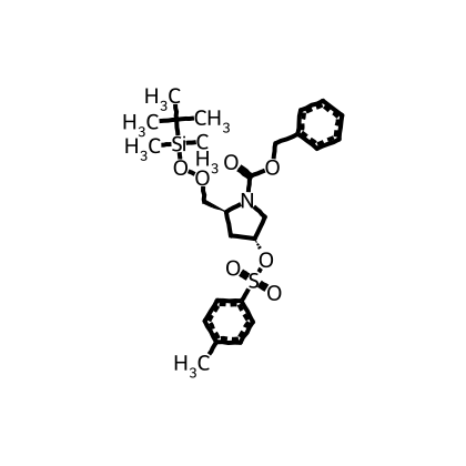 Cc1ccc(S(=O)(=O)O[C@@H]2C[C@@H](COO[Si](C)(C)C(C)(C)C)N(C(=O)OCc3ccccc3)C2)cc1